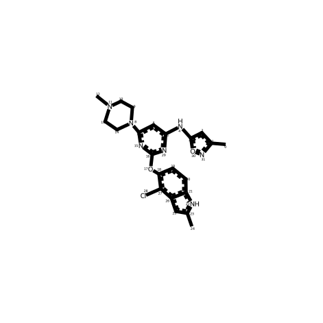 Cc1cc(Nc2cc(N3CCN(C)CC3)nc(Oc3ccc4[nH]c(C)cc4c3Cl)n2)on1